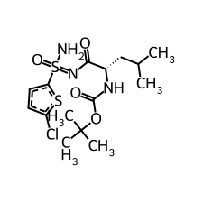 CC(C)C[C@H](NC(=O)OC(C)(C)C)C(=O)N=S(N)(=O)c1ccc(Cl)s1